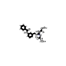 CC(C)(C)OC(=O)/N=C(\NCc1cccc(NC(=O)c2ccccc2)c1)NC(=O)OC(C)(C)C